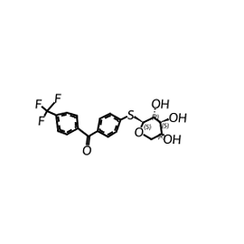 O=C(c1ccc(S[C@@H]2OC[C@@H](O)[C@H](O)[C@H]2O)cc1)c1ccc(C(F)(F)F)cc1